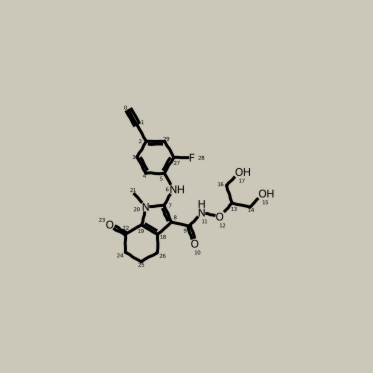 C#Cc1ccc(Nc2c(C(=O)NOC(CO)CO)c3c(n2C)C(=O)CCC3)c(F)c1